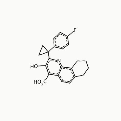 O=C(O)c1c(O)c(C2(c3ccc(F)cc3)CC2)nc2c3c(ccc12)CCCC3